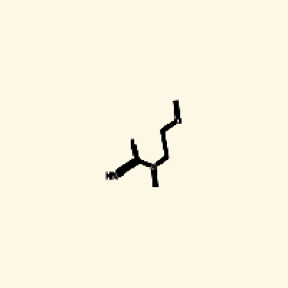 COCCN(C)C(=N)I